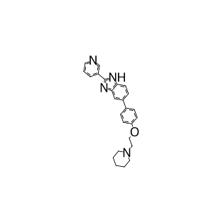 c1cncc(-c2nc3cc(-c4ccc(OCCN5CCCCC5)cc4)ccc3[nH]2)c1